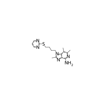 Cc1nc(N)c2nc(C)n(CCCCSc3ncccn3)c2c1C